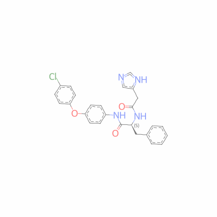 O=C(Cc1cnc[nH]1)N[C@@H](Cc1ccccc1)C(=O)Nc1ccc(Oc2ccc(Cl)cc2)cc1